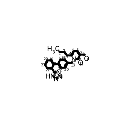 CCCCc1ccc(C=O)c(=O)n1Cc1ccc(-c2ccccc2-c2nnn[nH]2)cc1